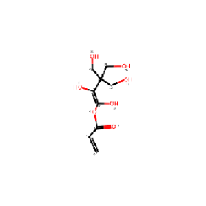 C=CC(=O)OC(O)=C(O)C(CO)(CO)CO